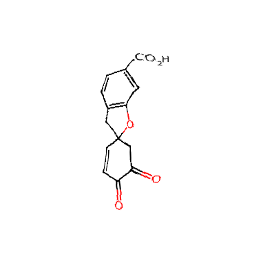 O=C1C=CC2(CC1=O)Cc1ccc(C(=O)O)cc1O2